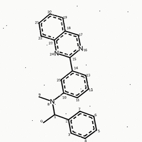 CC(c1ccccc1)N(C)c1cccc(-c2ncc3ccccc3n2)c1